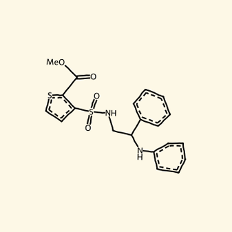 COC(=O)c1sccc1S(=O)(=O)NCC(Nc1ccccc1)c1ccccc1